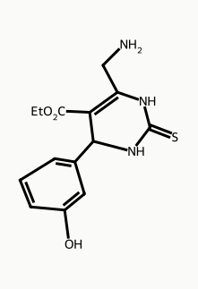 CCOC(=O)C1=C(CN)NC(=S)NC1c1cccc(O)c1